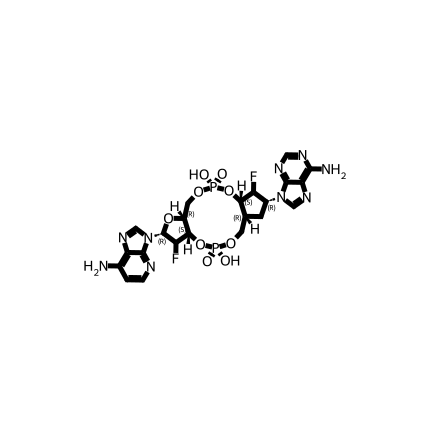 Nc1ncnc2c1ncn2[C@@H]1C[C@@H]2COP(=O)(O)O[C@@H]3C(F)[C@H](n4cnc5c(N)ccnc54)O[C@@H]3COP(=O)(O)O[C@@H]2C1F